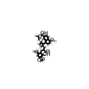 CCCOc1csc(/C=C(\Cc2cc3c(cc2OC)OCO3)C(=O)O)c1-c1ccc(OC)c2ccc(C(=O)O)cc12